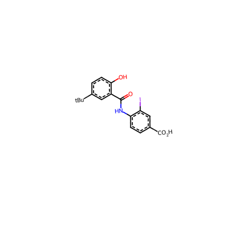 CC(C)(C)c1ccc(O)c(C(=O)Nc2ccc(C(=O)O)cc2I)c1